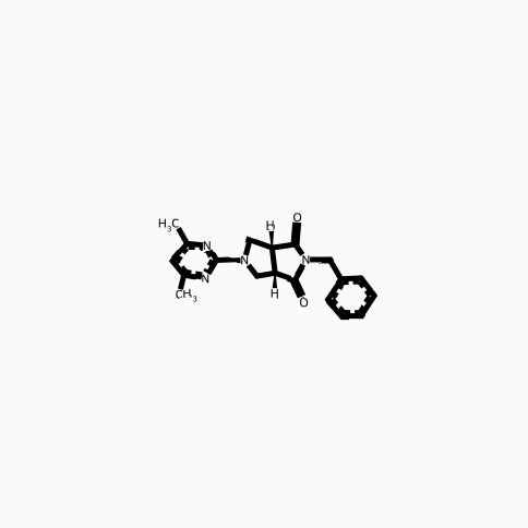 Cc1cc(C)nc(N2C[C@@H]3C(=O)N(Cc4ccccc4)C(=O)[C@@H]3C2)n1